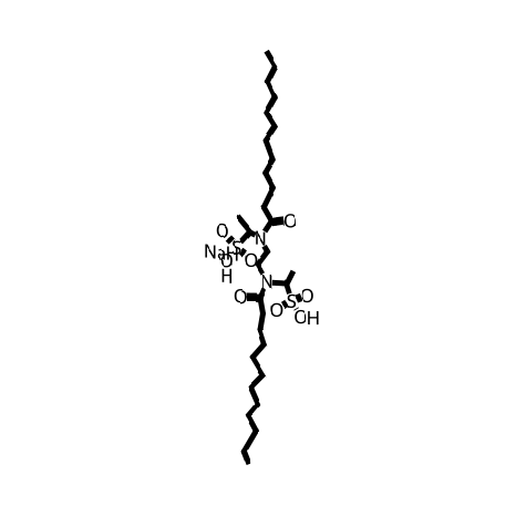 CCCCCCCCCCCC(=O)N(CCN(C(=O)CCCCCCCCCCC)C(C)S(=O)(=O)O)C(C)S(=O)(=O)O.[NaH]